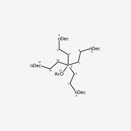 CCCCCCCCCCCCP(CCCCCCCCCCCC)(CCCCCCCCCCCC)(CCCCCCCCCCCC)OC(C)=O